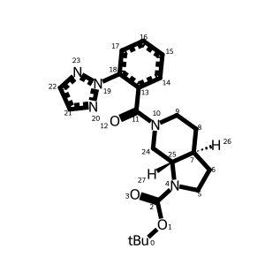 CC(C)(C)OC(=O)N1CC[C@@H]2CCN(C(=O)c3ccccc3-n3nccn3)C[C@H]21